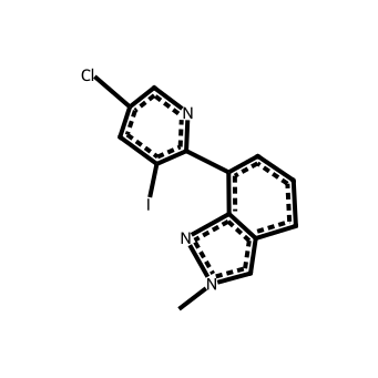 Cn1cc2cccc(-c3ncc(Cl)cc3I)c2n1